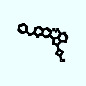 Nc1ncnc2c1c(-c1ccc3ccc(Oc4ccccc4)nc3c1)nn2C1CC(O)C1